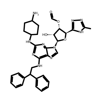 Cc1nnc([C@H]2O[C@@H](n3cnc4c(NCC(c5ccccc5)c5ccccc5)nc(NC5CCC(N)CC5)nc43)[C@H](O)[C@@H]2OC=O)[nH]1